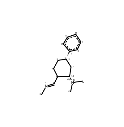 CN=CC1CC[C@H](c2ccccc2)C[C@@H]1N(C)C